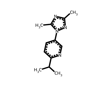 Cc1nc(C)n(-c2ccc(C(C)C)nc2)n1